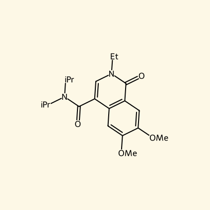 CCn1cc(C(=O)N(C(C)C)C(C)C)c2cc(OC)c(OC)cc2c1=O